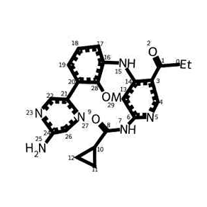 CCC(=O)c1cnc(NC(=O)C2CC2)cc1Nc1cccc(-c2cnc(N)cn2)c1OC